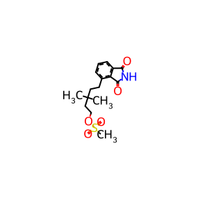 CC(C)(CCOS(C)(=O)=O)CCc1cccc2c1C(=O)NC2=O